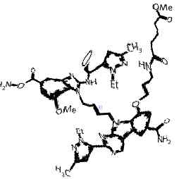 CCn1nc(C)cc1C(=O)Nc1nc2cc(C(=O)ON)cc(OC)c2n1C/C=C/Cn1c2nc(-c3cc(C)nn3CC)ncc2c2cc(C(N)=O)cc(OCCCNC(=O)CCCC(=O)OC)c21